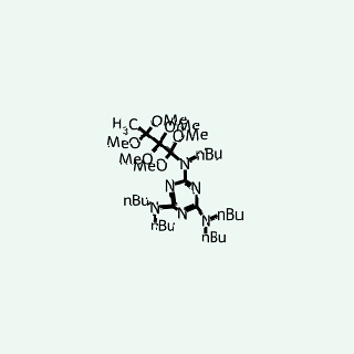 CCCCN(CCCC)c1nc(N(CCCC)CCCC)nc(N(CCCC)C(OC)(OC)C(OC)(OC)C(C)(OC)OC)n1